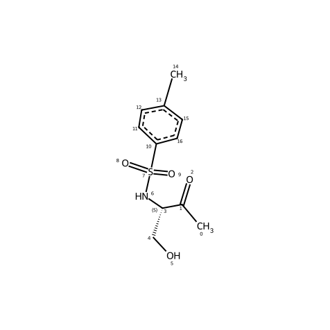 CC(=O)[C@H](CO)NS(=O)(=O)c1ccc(C)cc1